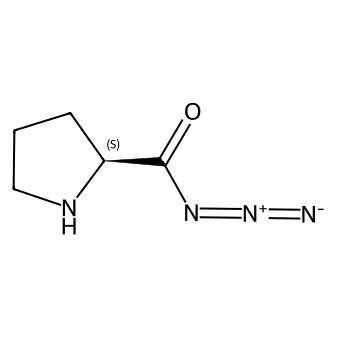 [N-]=[N+]=NC(=O)[C@@H]1CCCN1